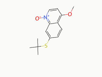 COc1cc[n+]([O-])c2cc(SC(C)(C)C)ccc12